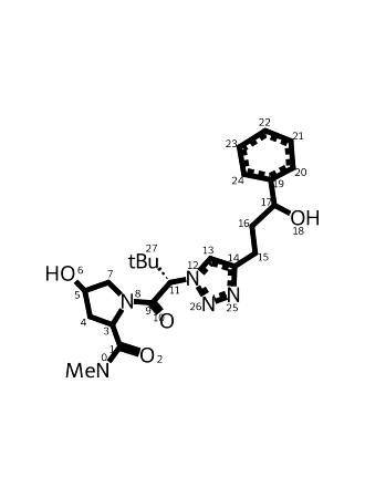 CNC(=O)C1CC(O)CN1C(=O)[C@@H](n1cc(CCC(O)c2ccccc2)nn1)C(C)(C)C